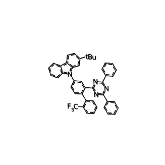 CC(C)(C)c1ccc2c3ccccc3n(-c3ccc(-c4ccccc4C(F)(F)F)c(-c4nc(-c5ccccc5)nc(-c5ccccc5)n4)c3)c2c1